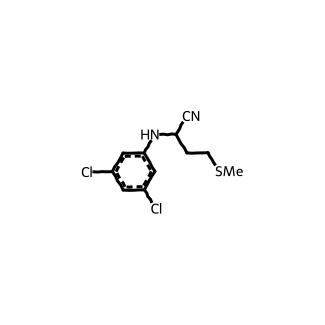 CSCCC(C#N)Nc1cc(Cl)cc(Cl)c1